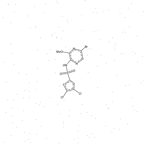 COc1nc(Br)cnc1NS(=O)(=O)c1cc(Cl)c(Cl)s1